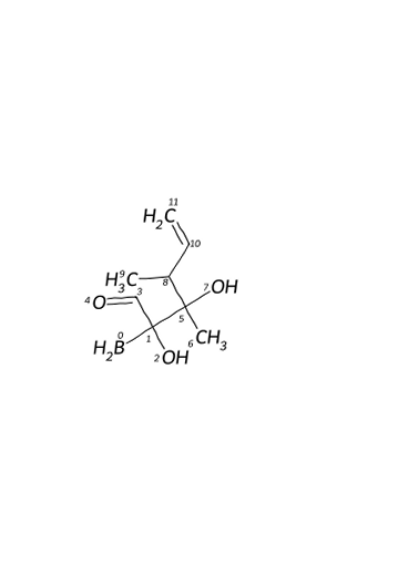 BC(O)(C=O)C(C)(O)C(C)C=C